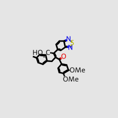 COc1ccc(C(=O)C(Cc2ccc(C)cc2)=C(C(=O)O)c2ccc3nsnc3c2)cc1OC